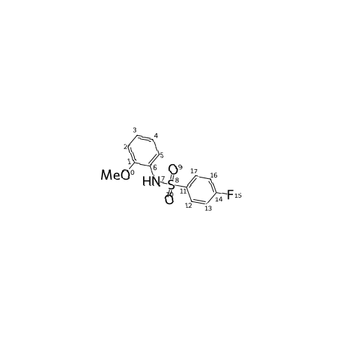 COc1ccccc1NS(=O)(=O)c1ccc(F)cc1